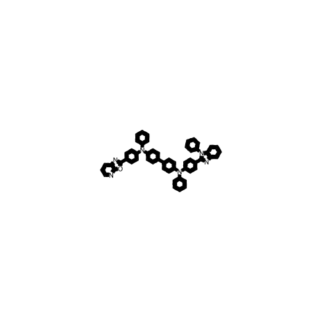 c1ccc(N(c2ccc(-c3ccc(N(c4ccccc4)c4ccc(-c5nc6ccccc6n5-c5ccccc5)cc4)cc3)cc2)c2ccc(-c3nc4cccnc4o3)cc2)cc1